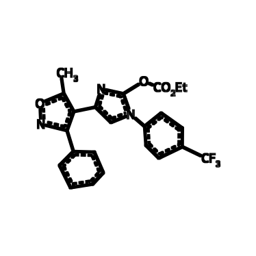 CCOC(=O)Oc1nc(-c2c(-c3ccccc3)noc2C)cn1-c1ccc(C(F)(F)F)cc1